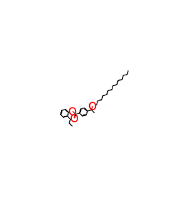 CCCCCCCCCCCCCCOC(C)c1ccc(C(=O)Oc2ccccc2CCC)cc1